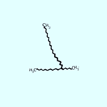 [CH2]CCCCCC(CCCCCCCCCCC)CCCCCCCCCCCCCCCCCCCCC